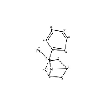 CC(C)N1CC2CC(C1)N2Cc1cccnc1